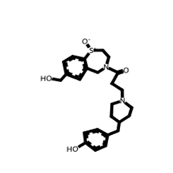 O=C(CCN1CCC(Cc2ccc(O)cc2)CC1)N1CC[S+]([O-])c2ccc(CO)cc2C1